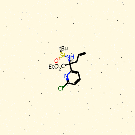 C=CC[C@](N[S+]([O-])C(C)(C)C)(C(=O)OCC)c1cccc(Cl)n1